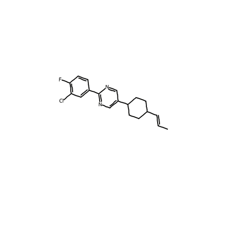 C/C=C/C1CCC(c2cnc(-c3ccc(F)c(Cl)c3)nc2)CC1